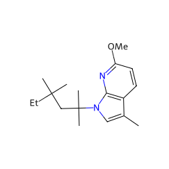 CCC(C)(C)CC(C)(C)n1cc(C)c2ccc(OC)nc21